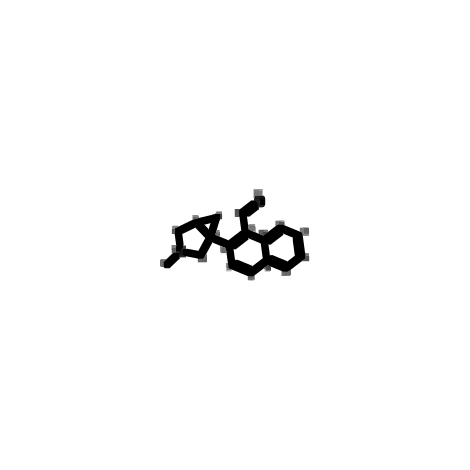 CN1CC2CC2(c2ccc3ccccc3c2C=O)C1